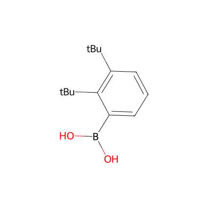 CC(C)(C)c1cccc(B(O)O)c1C(C)(C)C